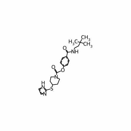 CC(C)(C)CCNC(=O)c1ccc(OC(=O)N2CCC(Sc3ncc[nH]3)CC2)cc1